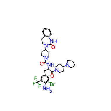 Nc1c(Br)cc(CC(NC(=O)N2CCC(N3CCc4ccccc4NC3=O)CC2)C(=O)N2CCC(N3CCCC3)CC2)cc1C(F)(F)F